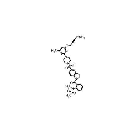 Cc1cc(OCC#CCN)nc(N2CCN(S(=O)(=O)c3ccc4c(c3)CCN4C(=O)c3ccccc3N(C)S(C)(=O)=O)CC2)n1